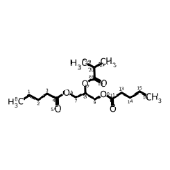 CCCCC(=O)OCC(COC(=O)CCCC)OC(=O)C(C)C